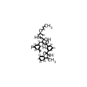 CCCO[C@H]1CN[C@@H]([C@@H](O)[C@H](Cc2cc(F)cc(F)c2)NC(=O)c2cccc(C(=O)NC(C)c3ccccc3)c2)C1